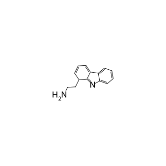 NCCC1C=CC=C2C1=Nc1ccccc12